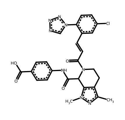 Cc1nn(C)c2c1CCN(C(=O)C=Cc1cc(Cl)ccc1-n1cnnn1)C2C(=O)Nc1ccc(C(=O)O)cc1